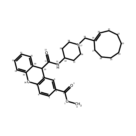 COC(=O)c1ccc2c(c1)C(C(=O)NC1CCN(CC3=CCCCCCCC3)CC1)c1ccccc1O2